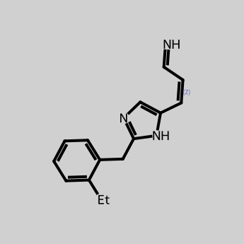 CCc1ccccc1Cc1ncc(/C=C\C=N)[nH]1